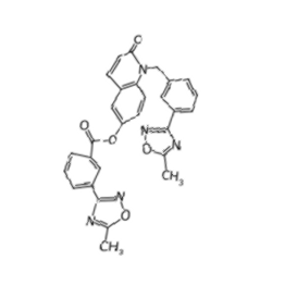 Cc1nc(-c2cccc(Cn3c(=O)ccc4cc(OC(=O)c5cccc(-c6noc(C)n6)c5)ccc43)c2)no1